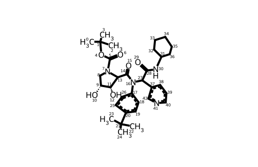 CC(C)(C)OC(=O)N1C[C@@H](O)[C@@H](O)C1C(=O)N(c1ccc(C(C)(C)C)cc1)C(C(=O)NC1CCCCC1)c1cccnc1